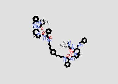 CC[C@H](NC)C(=O)N[C@@H]1C(=O)N2[C@@H](CC[C@@H]1CNCc1ccccc1)CC[C@H]2C(=O)N[C@H](C(=O)NCCCCC1CCC(CCCCNC(=O)[C@@H](NC(=O)[C@@H]2CC[C@@H]3CC[C@H](CNCc4ccccc4)[C@H](NC(=O)[C@H](CC)NC)CN32)c2ccccc2)CC1)c1ccccc1